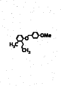 C=CCc1c(C)cccc1OCc1ccc(OC)cc1